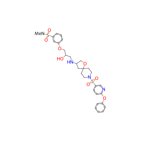 CNS(=O)(=O)c1cccc(OCC(O)CNC2COC3(CCN(S(=O)(=O)c4ccc(Oc5ccccc5)nc4)CC3)C2)c1